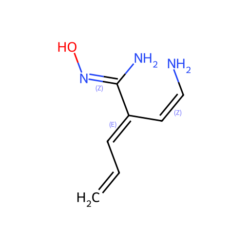 C=C/C=C(\C=C/N)C(/N)=N/O